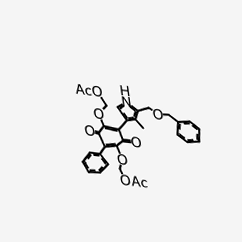 CC(=O)OCOC1=C(c2ccccc2)C(=O)C(OCOC(C)=O)=C(c2c[nH]c(COCc3ccccc3)c2C)C1=O